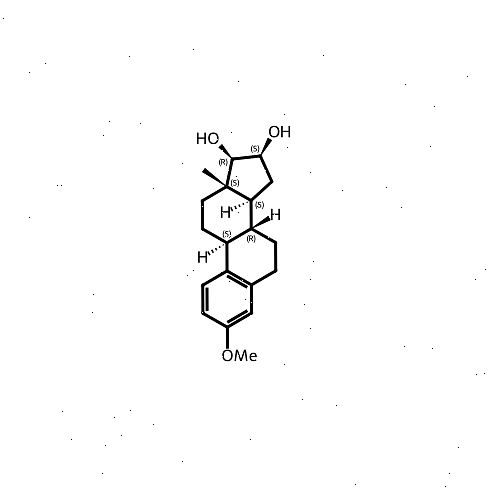 COc1ccc2c(c1)CC[C@@H]1[C@@H]2CC[C@]2(C)[C@@H](O)[C@@H](O)C[C@@H]12